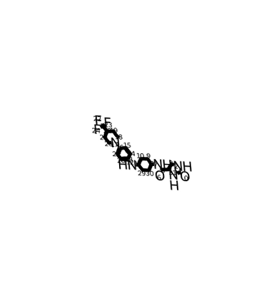 O=C1NCC(C(=O)NC2CCC(Nc3ccc(N4CCC(C(F)(F)F)CC4)cc3)CC2)N1